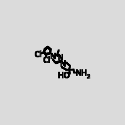 CC1=NC(N2CCC(CO)(CCN)CC2)=CCN1c1cccc(Cl)c1Cl